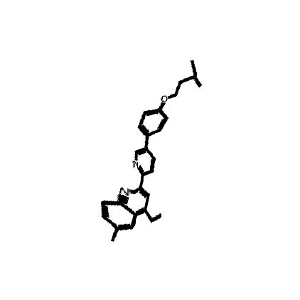 CCc1cc(-c2ccc(-c3ccc(OCCC(C)C)cc3)cn2)nc2ccc(C)cc12